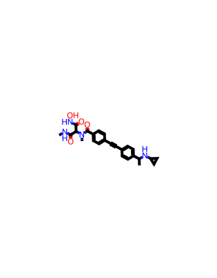 CNC(=O)C(C(=O)NO)N(C)C(=O)c1ccc(C#Cc2ccc(C(C)NC3CC3)cc2)cc1